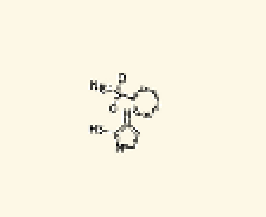 O=S(=O)([O-])c1ccccc1.Sc1ncc[nH]1.[Na+]